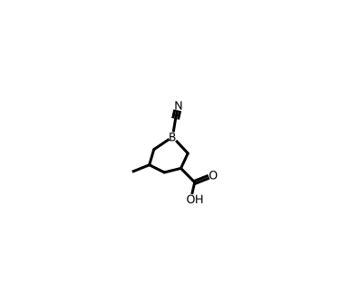 CC1CB(C#N)CC(C(=O)O)C1